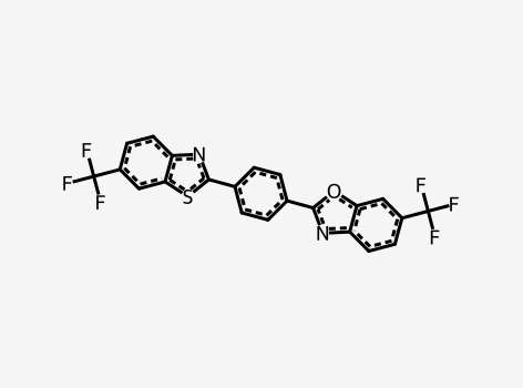 FC(F)(F)c1ccc2nc(-c3ccc(-c4nc5ccc(C(F)(F)F)cc5s4)cc3)oc2c1